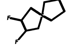 FC1CS2(CCCC2)CC1F